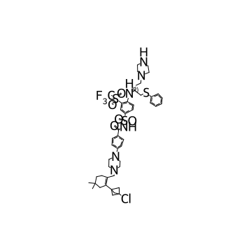 CC1(C)CCC(CN2CCN(c3ccc(C(=O)NS(=O)(=O)c4ccc(N[C@H](CCN5CCNCC5)CSc5ccccc5)c(S(=O)(=O)C(F)(F)F)c4)cc3)CC2)=C(C23CC(Cl)(C2)C3)C1